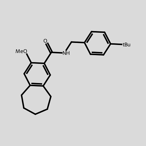 COc1cc2c(cc1C(=O)NCc1ccc(C(C)(C)C)cc1)CCCCC2